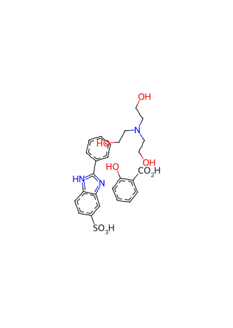 O=C(O)c1ccccc1O.O=S(=O)(O)c1ccc2[nH]c(-c3ccccc3)nc2c1.OCCN(CCO)CCO